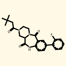 CC(C)(C)CC(=O)N1CCN2C(=O)c3cc(-c4ccccc4F)ccc3NC(=O)C2C1